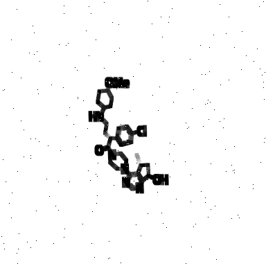 COC1CCC(NCC[C@@H](C(=O)N2CCN(c3ncnc4c3[C@H](C)C[C@H]4O)CC2)c2ccc(Cl)cc2)CC1